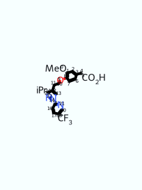 COc1cc(CC(=O)O)ccc1OCCc1cn(-c2ccc(C(F)(F)F)cn2)nc1C(C)C